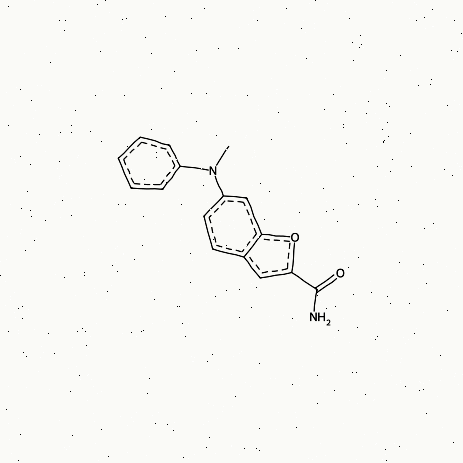 CN(c1ccccc1)c1ccc2cc(C(N)=O)oc2c1